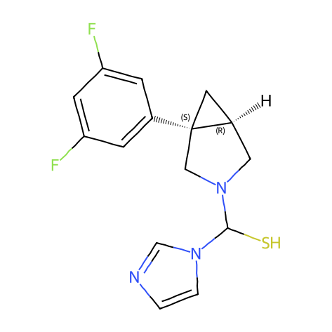 Fc1cc(F)cc([C@]23C[C@H]2CN(C(S)n2ccnc2)C3)c1